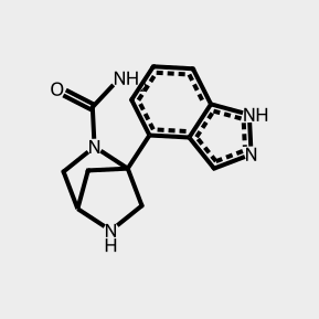 NC(=O)N1CC2CC1(c1cccc3[nH]ncc13)CN2